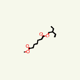 CCC(CC)COC(=O)CCCCCC(=O)OC